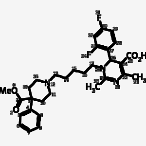 COC(=O)C1(c2ccccc2)CCN(CCCCCN2C(C)=NC(C)=C(C(=O)O)C2c2ccc(F)cc2F)CC1